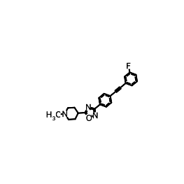 CN1CCC(c2nc(-c3ccc(C#Cc4cccc(F)c4)cc3)no2)CC1